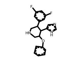 Fc1cc(F)cc(C2CNCC(Oc3ccccc3)C2c2cnc[nH]2)c1